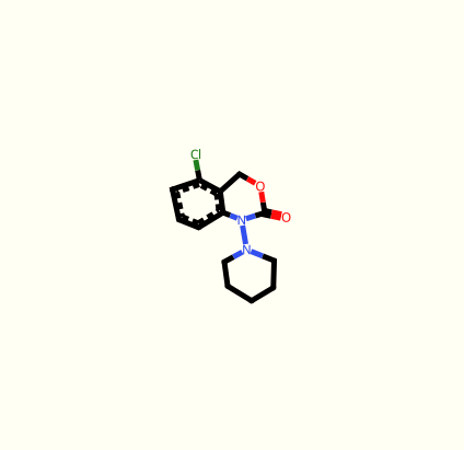 O=C1OCc2c(Cl)cccc2N1N1CCCCC1